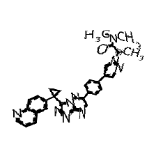 C[C@H](C(=O)N(C)C)n1cc(-c2ccc(-c3cnc4nnc(C5(c6ccc7ncccc7c6)CC5)n4n3)cc2)cn1